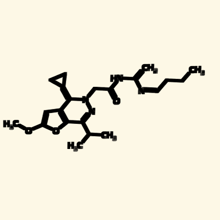 C=C(/N=C\CCC)NC(=O)CN1N=C(C(C)C)c2oc(OC)cc2C1=C1CC1